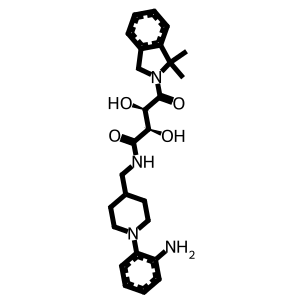 CC1(C)c2ccccc2CN1C(=O)[C@H](O)[C@@H](O)C(=O)NCC1CCN(c2ccccc2N)CC1